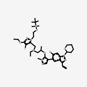 C=Cc1nn(C2CCCCO2)c2cc(F)c(-c3cnn(C)c3OC(C)CN(CC)Cc3c(I)c(OCC)nn3CCO[Si](C)(C)C(C)(C)C)cc12